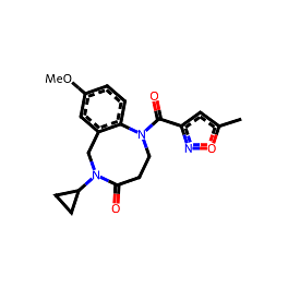 COc1ccc2c(c1)CN(C1CC1)C(=O)CCN2C(=O)c1cc(C)on1